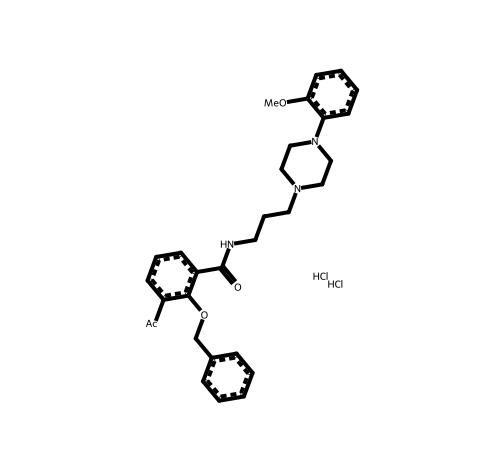 COc1ccccc1N1CCN(CCCNC(=O)c2cccc(C(C)=O)c2OCc2ccccc2)CC1.Cl.Cl